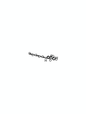 O=CCOCCOCCOCCOCCNc1ccc2c(c1)C(=O)N(C1CCC(=O)NC1=O)C2=O